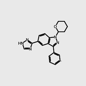 [c]1cccc(-c2nn(C3CCCCO3)c3ccc(-c4nc[nH]n4)cc23)c1